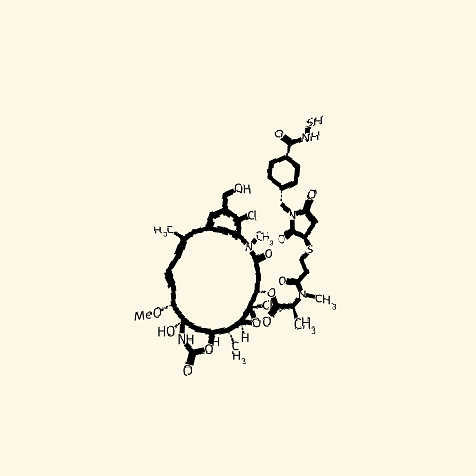 CO[C@@H]1/C=C/C=C(\C)Cc2cc(CO)c(Cl)c(c2)N(C)C(=O)C[C@H](OC(=O)[C@H](C)N(C)C(=O)CCSC2CC(=O)N(C[C@H]3CC[C@H](C(=O)NS)CC3)C2=O)[C@]2(C)O[C@H]2[C@H](C)[C@@H]2C[C@@]1(O)NC(=O)O2